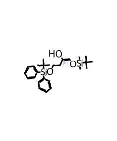 CC(C)(C)[Si](C)(C)O/C=C(/O)CCO[Si](c1ccccc1)(c1ccccc1)C(C)(C)C